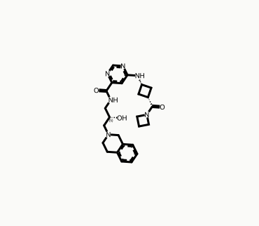 O=C(NC[C@H](O)CN1CCc2ccccc2C1)c1cc(N[C@H]2C[C@@H](C(=O)N3CCC3)C2)ncn1